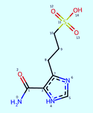 NC(=O)c1[nH]cnc1CCCS(=O)(=O)O